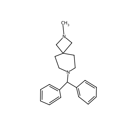 CN1CC2(CCN(C(c3ccccc3)c3ccccc3)CC2)C1